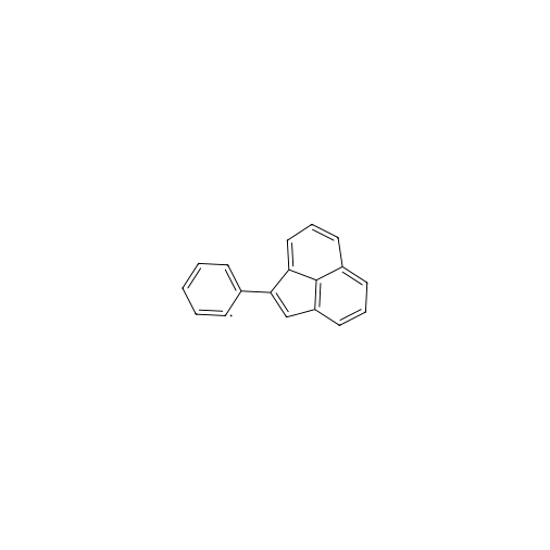 [c]1ccccc1C1=Cc2cccc3cccc1c23